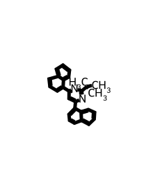 CC(C)(C)c1nc(-c2cccc3ccccc23)cc(-c2cccc3ccccc23)n1